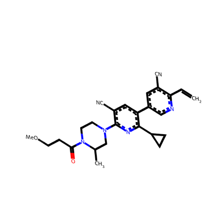 C=Cc1ncc(-c2cc(C#N)c(N3CCN(C(=O)CCOC)C(C)C3)nc2C2CC2)cc1C#N